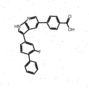 O=C(O)c1ccc(-c2cnc3[nH]cc(-c4ccc(-c5ccccc5)c(F)c4)c3c2)cc1